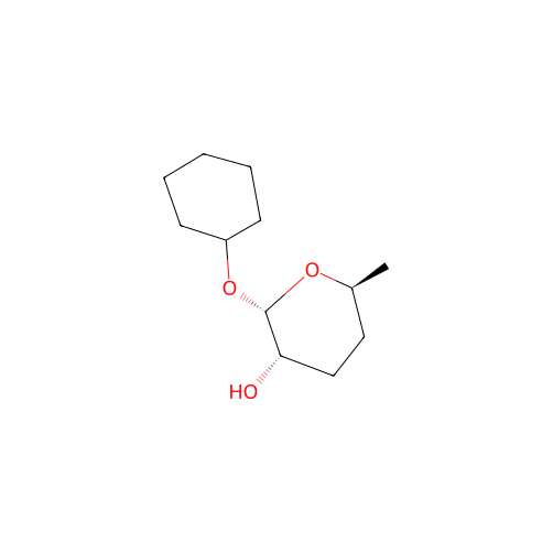 C[C@H]1CC[C@H](O)[C@H](OC2CCCCC2)O1